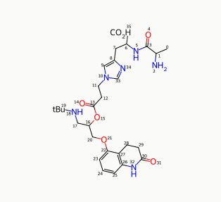 CC(N)C(=O)NC(Cc1cn(CCC(=O)OC(CNC(C)(C)C)COc2cccc3c2CCC(=O)N3)cn1)C(=O)O